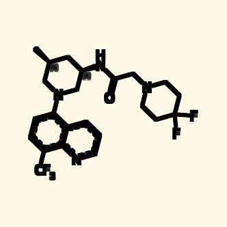 C[C@H]1C[C@@H](NC(=O)CN2CCC(F)(F)CC2)CN(c2ccc(C(F)(F)F)c3ncccc23)C1